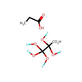 CCC(=O)O.O=C(O)C(OF)(OF)C(OF)(OF)OF